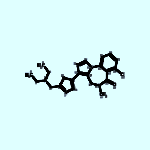 CCN(CC)Cc1nnc(-c2ncn3c2CN(C)C(=O)c2c(Cl)cccc2-3)o1